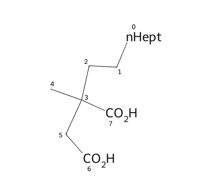 CCCCCCCCCC(C)(CC(=O)O)C(=O)O